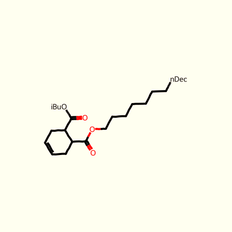 CCCCCCCCCCCCCCCCCOC(=O)C1CC=CCC1C(=O)OCC(C)C